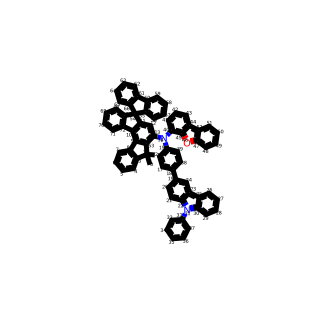 CC1(C)c2ccccc2-c2c3c(cc(N(c4ccc(-c5ccc6c(c5)c5ccccc5n6-c5ccccc5)cc4)c4cccc5c4oc4ccccc45)c21)C1(c2ccccc2-c2ccccc21)c1ccccc1-3